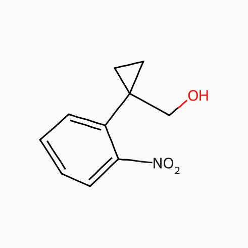 O=[N+]([O-])c1ccccc1C1(CO)CC1